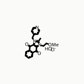 COCCn1c2c([n+](Cc3ccncc3)c1C)C(=O)c1ccccc1C2=O.Cl.[Cl-]